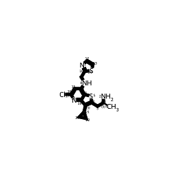 C[C@H](N)Cc1sc2c(NCc3nccs3)cc(Cl)nc2c1C1CC1